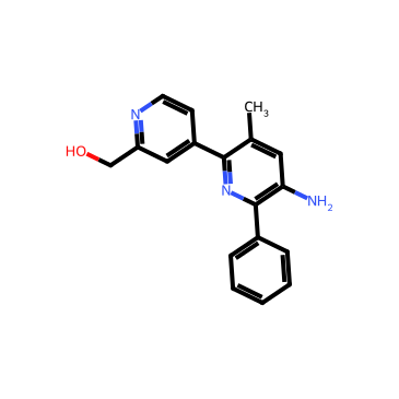 Cc1cc(N)c(-c2ccccc2)nc1-c1ccnc(CO)c1